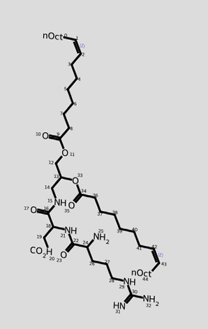 CCCCCCCC/C=C\CCCCCCC(=O)OCC(CNC(=O)C(CC(=O)O)NC(=O)C(N)CCCNC(=N)N)OC(=O)CCCCCC/C=C\CCCCCCCC